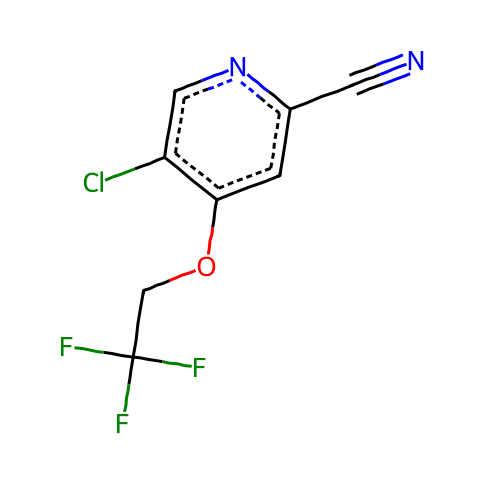 N#Cc1cc(OCC(F)(F)F)c(Cl)cn1